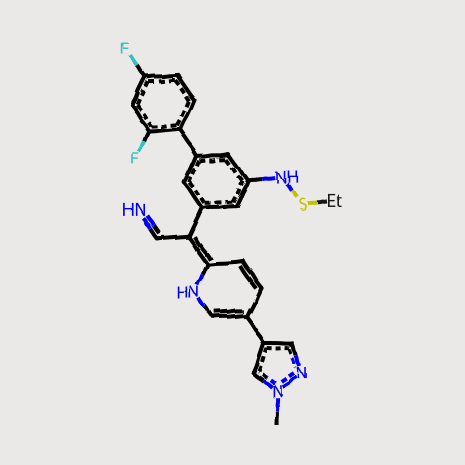 CCSNc1cc(/C(C=N)=C2\C=CC(c3cnn(C)c3)=CN2)cc(-c2ccc(F)cc2F)c1